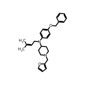 CC(C)=CCN(c1ccc(OCc2ccccc2)cc1)C1CCN(Cc2ccco2)CC1